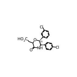 O=C(O)CC1O[C@@H](c2cccc(Cl)c2)[C@@H](c2ccc(Cl)cc2)NC1=O